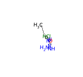 CCCCCCCCCc1ccc(-c2noc([C@@H]3CCN(C(=N)N)C3)n2)cc1.Cl